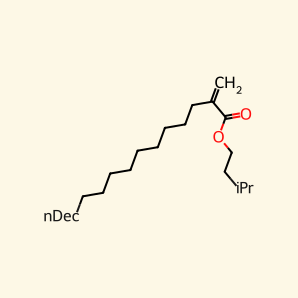 C=C(CCCCCCCCCCCCCCCCCCC)C(=O)OCCC(C)C